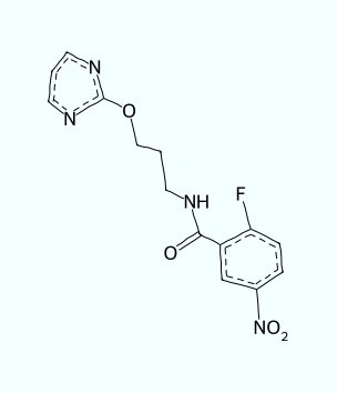 O=C(NCCCOc1ncccn1)c1cc([N+](=O)[O-])ccc1F